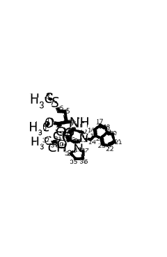 COC(=O)C(CCSC)NC(=O)CN(Cc1cccc2ccccc12)C(C(=O)OC(C)(C)C)N1CCCC1